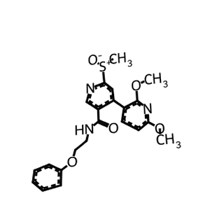 COc1ccc(-c2cc([S+](C)[O-])ncc2C(=O)NCCOc2ccccc2)c(OC)n1